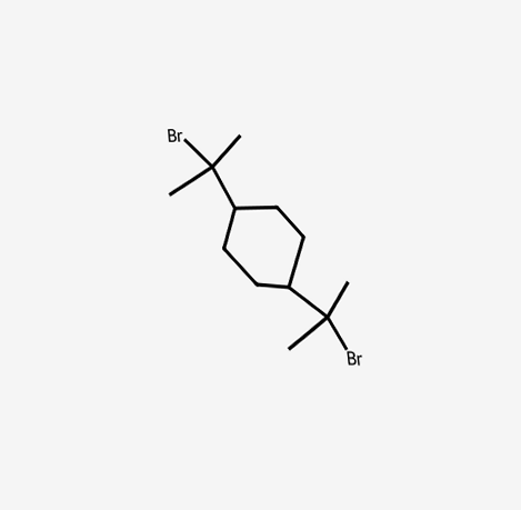 CC(C)(Br)C1CCC(C(C)(C)Br)CC1